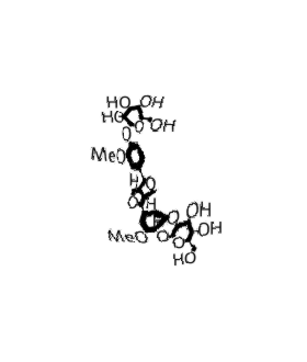 COc1cc([C@H]2OC[C@H]3[C@@H]2CO[C@@H]3c2ccc(O[C@@H]3O[C@H](CO)[C@@H](O)[C@H](O)[C@H]3O)c(OC)c2)ccc1O[C@@H]1O[C@H](CO)[C@@H](O)[C@H](O)[C@H]1O